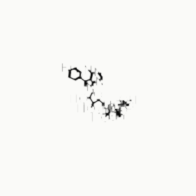 Nc1ncnc2c1c(-c1ccc(F)cc1)cn2C1OC(COP(=O)(O)OP(=O)(O)OP(=O)(O)O)C(O)C1O